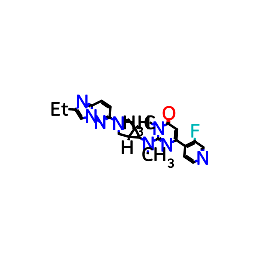 CCc1cn2nc(N3C[C@@H]4C(N(C)c5nc(-c6ccncc6F)cc(=O)n5C)[C@@H]4C3)ccc2n1